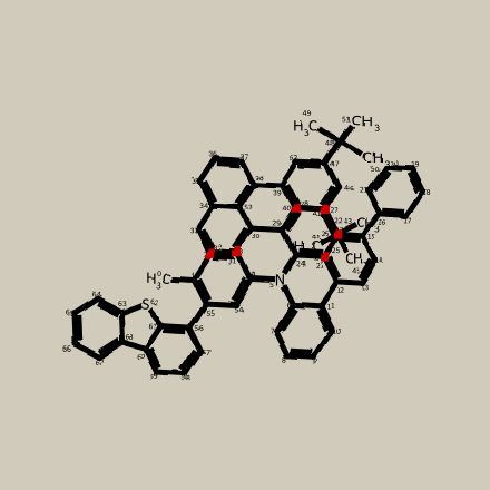 Cc1ccc(N(c2ccccc2-c2ccc(-c3ccccc3)cc2)c2ccccc2-c2cccc3cccc(-c4cc(C(C)(C)C)cc(C(C)(C)C)c4)c23)cc1-c1cccc2c1sc1ccccc12